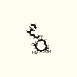 C/C(=C\C=C\C(C)c1ncccn1)[C@H]1OC(=O)C[C@H](O)CC[C@@](C)(O)C/C=C/[C@@H]1C